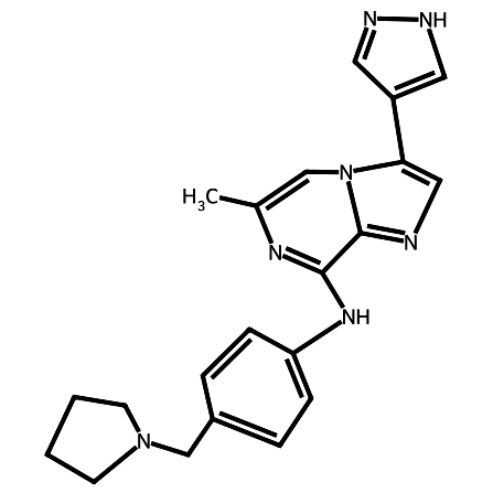 Cc1cn2c(-c3cn[nH]c3)cnc2c(Nc2ccc(CN3CCCC3)cc2)n1